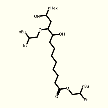 CCCCCCC(CC(OCC(CC)CCCC)C(O)CCCCCCCC(=O)OCC(CC)CCCC)N=O